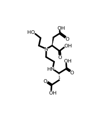 O=C(O)C[C@H](NCCN(CCO)[C@@H](CC(=O)O)C(=O)O)C(=O)O